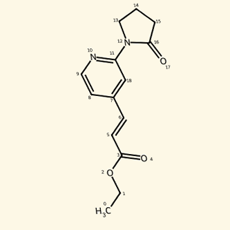 CCOC(=O)/C=C/c1ccnc(N2CCCC2=O)c1